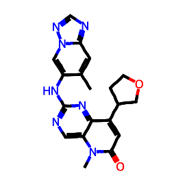 Cc1cc2ncnn2cc1Nc1ncc2c(n1)c(C1CCOC1)cc(=O)n2C